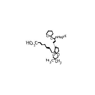 CCCCCCCC(C=C[C@@H]1CCC2(OCC(C)(C)CO2)[C@H]1CC=CCCCC(=O)O)OC1CCCCO1